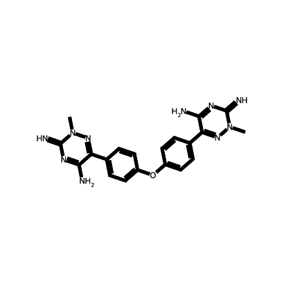 Cn1nc(-c2ccc(Oc3ccc(-c4nn(C)c(=N)nc4N)cc3)cc2)c(N)nc1=N